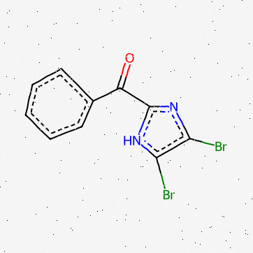 O=C(c1ccccc1)c1nc(Br)c(Br)[nH]1